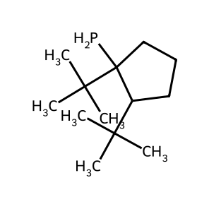 CC(C)(C)C1CCCC1(P)C(C)(C)C